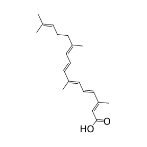 CC(C)=CCCC(C)=CC=CC(C)=CC=CC(C)=CC(=O)O